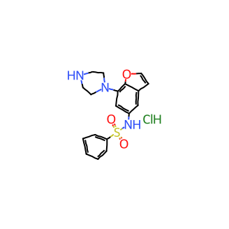 Cl.O=S(=O)(Nc1cc(N2CCNCC2)c2occc2c1)c1ccccc1